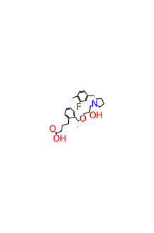 Cc1ccc(C[C@@H]2CCCN2C[C@H](O)CO[C@H](C)c2ccccc2CCCC(=O)O)cc1F